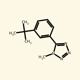 Cn1nnnc1-c1cccc(C(C)(C)C)c1